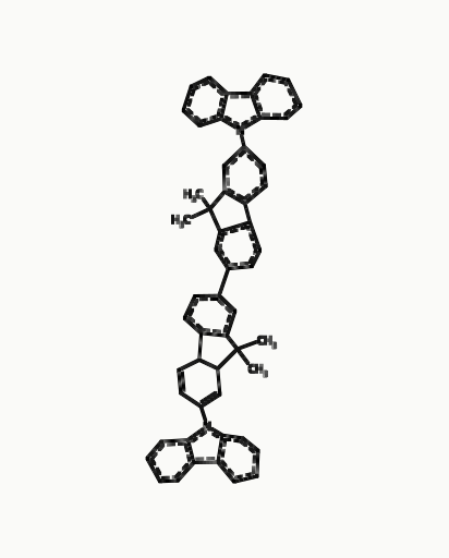 CC1(C)c2cc(-c3ccc4c(c3)C(C)(C)C3C=C(n5c6ccccc6c6ccccc65)C=CC43)ccc2-c2ccc(-n3c4ccccc4c4ccccc43)cc21